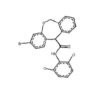 O=C(Nc1c(Cl)cccc1Cl)C1c2ccccc2COc2cc(Br)ccc21